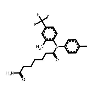 Cc1ccc(N(C(=O)CCCCCC(N)=O)c2ccc(C(F)(F)F)cc2N)cc1